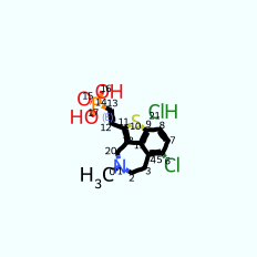 CN1CCc2c(Cl)ccc3sc(/C=C/P(=O)(O)O)c(c23)C1.Cl